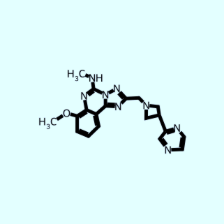 CNc1nc2c(OC)cccc2c2nc(CN3CC(c4cnccn4)C3)nn12